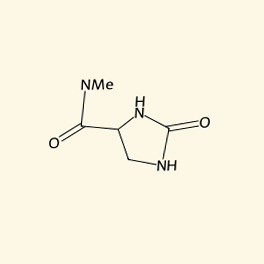 CNC(=O)C1CNC(=O)N1